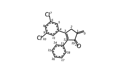 C=C1CC(c2cc(Cl)cc(Cl)c2)=C(c2ccccc2)C1=O